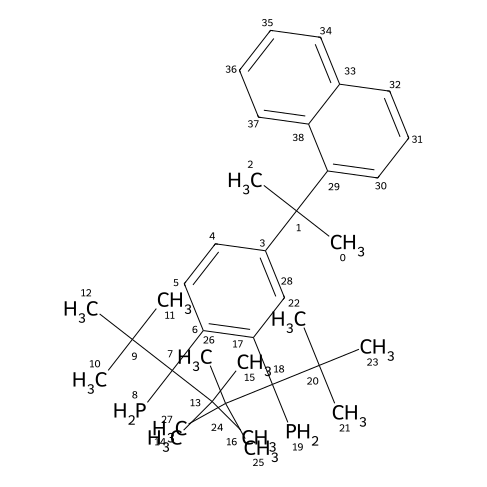 CC(C)(c1ccc(C(P)(C(C)(C)C)C(C)(C)C)c(C(P)(C(C)(C)C)C(C)(C)C)c1)c1cccc2ccccc12